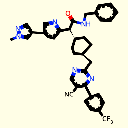 Cn1cc(-c2ccc(C(C(=O)NCc3ccccc3)[C@H]3CC[C@H](Cc4ncc(C#N)c(-c5ccc(C(F)(F)F)cc5)n4)CC3)nc2)cn1